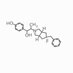 CC(C(O)c1ccc(O)cc1)N1C[C@@H]2C[C@@](F)(Cc3ccccc3)C[C@@H]2C1